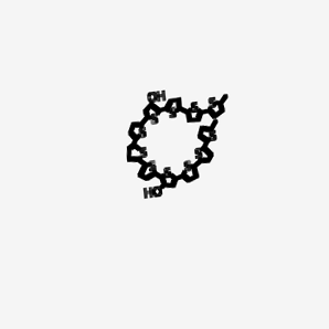 Cc1ccc(-c2ccc(-c3ccc(-c4cc(O)c(-c5ccc(-c6ccc(-c7ccc(-c8cc(O)c(-c9ccc(-c%10ccc(-c%11ccc(C)s%11)s%10)s9)s8)s7)s6)s5)s4)s3)s2)s1